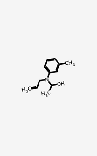 C=CCN(c1cccc(C)c1)C(C)O